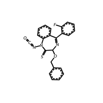 O=C=NN1C(=S)C(OCc2ccccc2)N=C(c2ccccc2F)c2ccccc21